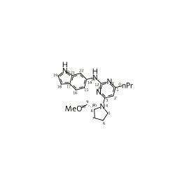 CCCc1cc(N2CCC[C@@H]2COC)nc(Nc2ccc3cc[nH]c3c2)n1